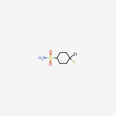 CCC1(F)CCC(S(N)(=O)=O)CC1